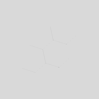 [CH2]CC(CC)C(C)C(C)CC